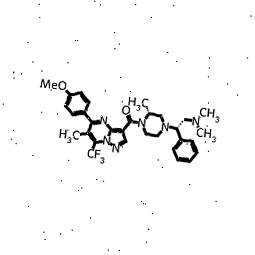 COc1ccc(-c2nc3c(C(=O)N4CCN([C@H](CN(C)C)c5ccccc5)C[C@H]4C)cnn3c(C(F)(F)F)c2C)cc1